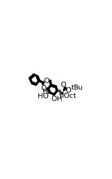 CCCCCCCCN(C(=O)OC(C)(C)C)[C@@H]1C=C2COC(c3ccccc3)O[C@@H]2C(O)C1O